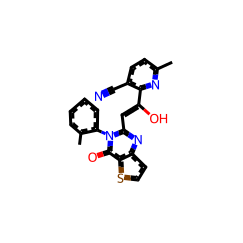 Cc1ccc(C#N)c(/C(O)=C/c2nc3ccsc3c(=O)n2-c2ccccc2C)n1